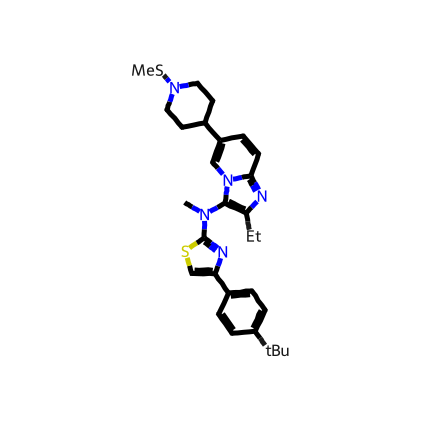 CCc1nc2ccc(C3CCN(SC)CC3)cn2c1N(C)c1nc(-c2ccc(C(C)(C)C)cc2)cs1